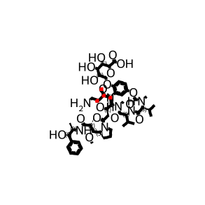 CC[C@H](C)[C@@H]([C@@H](CC(=O)N1CCC[C@H]1[C@H](OC)[C@@H](C)C(=O)N[C@H](C)[C@@H](O)c1ccccc1)OC)N(C)C(=O)[C@@H](NC(=O)[C@H](C(C)C)N(C)C(=O)Oc1ccc(OC2OC(C(=O)O)[C@@H](O)C(O)[C@H]2O)c(NC(=O)CCN)c1)C(C)C